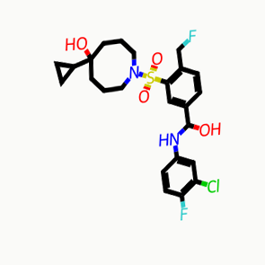 O=S(=O)(c1cc(C(O)Nc2ccc(F)c(Cl)c2)ccc1CF)N1CCCC(O)(C2CC2)CCC1